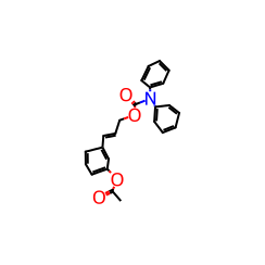 CC(=O)Oc1cccc(/C=C/COC(=O)N(c2ccccc2)c2ccccc2)c1